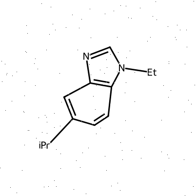 CCn1cnc2cc(C(C)C)ccc21